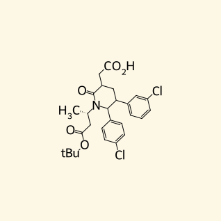 C[C@@H](CC(=O)OC(C)(C)C)N1C(=O)C(CC(=O)O)CC(c2cccc(Cl)c2)C1c1ccc(Cl)cc1